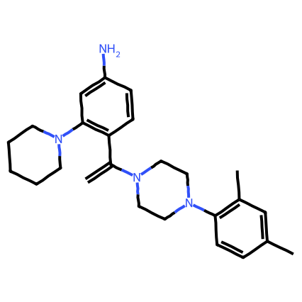 C=C(c1ccc(N)cc1N1CCCCC1)N1CCN(c2ccc(C)cc2C)CC1